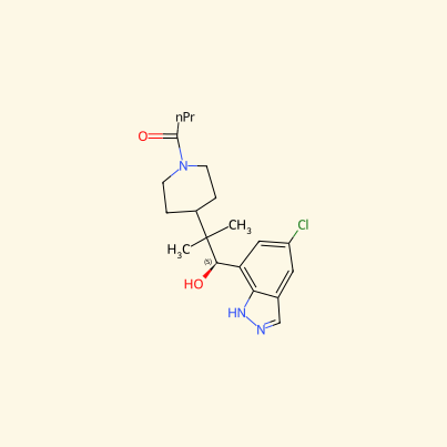 CCCC(=O)N1CCC(C(C)(C)[C@H](O)c2cc(Cl)cc3cn[nH]c23)CC1